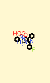 CN(C(=O)c1c(N)c(-c2cccc(F)c2)nc2ccccc12)N(C(=O)O)c1ccccc1